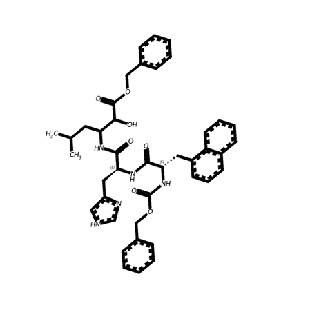 CC(C)CC(NC(=O)[C@H](Cc1c[nH]cn1)NC(=O)[C@H](Cc1cccc2ccccc12)NC(=O)OCc1ccccc1)C(O)C(=O)OCc1ccccc1